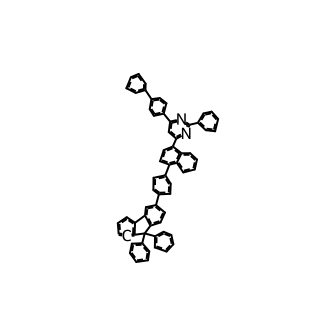 c1ccc(-c2ccc(-c3cc(-c4ccc(-c5ccc(-c6ccc7c(c6)-c6ccccc6C7(c6ccccc6)c6ccccc6)cc5)c5ccccc45)nc(-c4ccccc4)n3)cc2)cc1